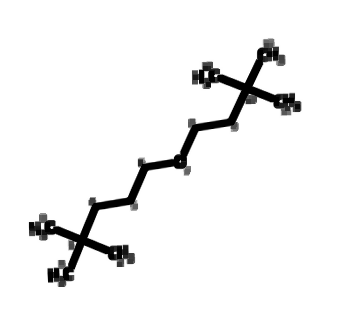 CC(C)(C)CCCOCCC(C)(C)C